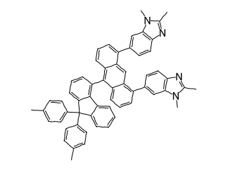 Cc1ccc(C2(c3ccc(C)cc3)c3ccccc3-c3c(-c4c5cccc(-c6ccc7nc(C)n(C)c7c6)c5cc5c(-c6ccc7nc(C)n(C)c7c6)cccc45)cccc32)cc1